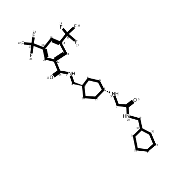 O=C(CN[C@H]1CC[C@H](CNC(=O)c2cc(C(F)(F)F)cc(C(F)(F)F)c2)CC1)NCC1CCCCC1